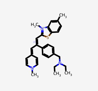 CCN(CC)Cc1ccc(/C(C=C2C=CN(C)C=C2)=C\c2sc3ccc(C)cc3[n+]2C)cc1